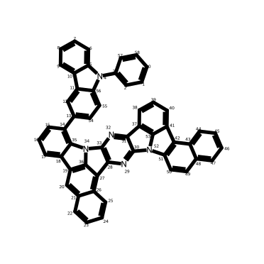 c1ccc(-n2c3ccccc3c3cc(-c4cccc5c6cc7ccccc7c7c8nc9c(nc8n(c45)c67)c4cccc5c6c7ccccc7ccc6n9c45)ccc32)cc1